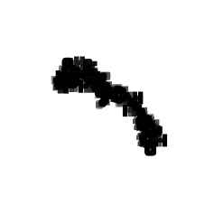 CCc1cc(Nc2ncc(Br)c(Nc3ccc4nccnc4c3P(C)(C)=O)n2)c(OC)cc1N1CCC(NCCNCc2ccc(C3CCC(=O)NC3=O)c(F)c2)CC1